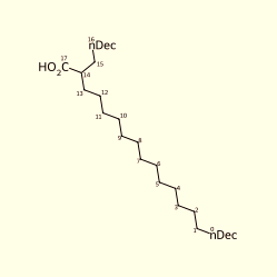 CCCCCCCCCCCCCCCCCCCCCCCC(CCCCCCCCCCC)C(=O)O